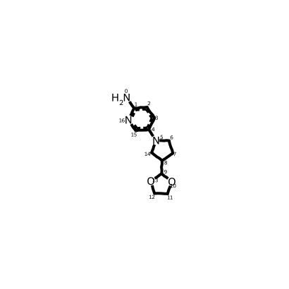 Nc1ccc(N2CCC(C3OCCO3)C2)cn1